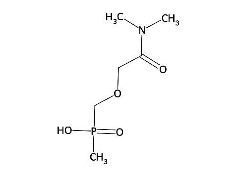 CN(C)C(=O)COCP(C)(=O)O